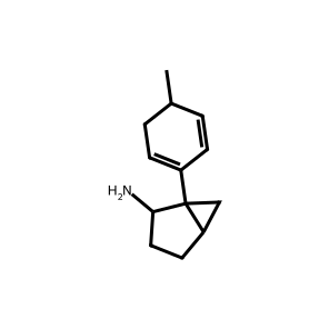 CC1C=CC(C23CC2CCC3N)=CC1